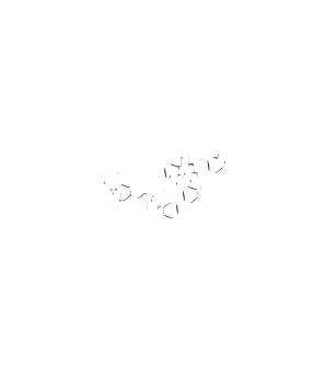 CC(=O)Nc1ccc(/C=C/C(=O)Nc2cccc(-c3cccc(-n4c(=O)c(Cc5cccnc5)nc5cccnc54)c3)c2)cn1